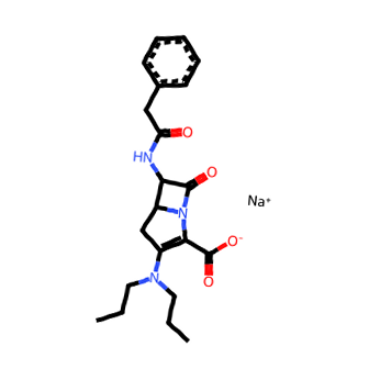 CCCN(CCC)C1=C(C(=O)[O-])N2C(=O)C(NC(=O)Cc3ccccc3)C2C1.[Na+]